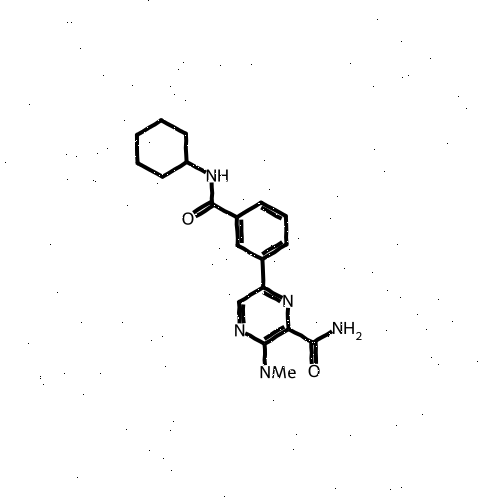 CNc1ncc(-c2cccc(C(=O)NC3CCCCC3)c2)nc1C(N)=O